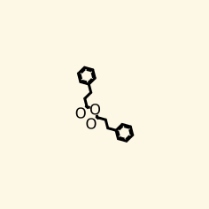 O=C(CCc1ccccc1)OC(=O)CCc1ccccc1